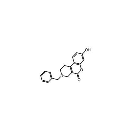 O=c1oc2cc(O)ccc2c2c1CN(Cc1ccccc1)CC2